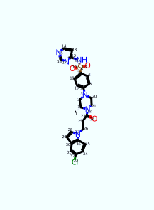 C[C@@H]1CN(c2ccc(S(=O)(=O)Nc3ccncn3)cc2)CCN1C(=O)CCn1ccc2cc(Cl)ccc21